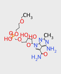 CCOCCCOP(=O)(O)COCC1OC(n2cc(C(N)=O)c3c(N)nc(C)nc32)C(O)C1O